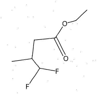 CCOC(=O)CC(C)C(F)F